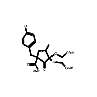 COCOC1(OCOC)C(=O)C(Cc2ccc(Cl)cc2)(C(=O)OC)CC1C